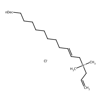 C=CC[N+](C)(C)CC=CCCCCCCCCCCCCCCCCCC.[Cl-]